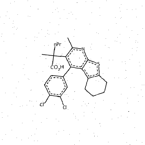 CCCC(C)(C(=O)O)c1c(C)nc2sc3c(c2c1-c1ccc(Cl)c(Cl)c1)CCCC3